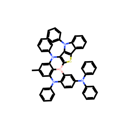 Cc1cc2c3c(c1)N(c1ccccc1)c1c(sc4c5ccccc5n(-c5ccccc5)c14)B3c1cc(N(c3ccccc3)c3ccccc3)ccc1N2c1ccccc1